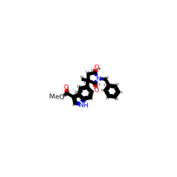 COC(=O)c1c[nH]c2ccc(C3(C)CC(=O)N(Cc4ccccc4)C3=O)cc12